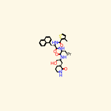 Cc1ccsc1C(=O)N[C@@H](Cc1cccc2ccccc12)C(=O)N[C@@H](CC(C)C)C(=O)N[C@H](CO)C[C@@H]1CCCNC1=O